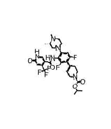 CC(C)OC(=O)N1CC=C(c2c(F)cc(N3CCN(C)[C@@H](C)C3)c(NC(=O)c3c[nH]c(=O)cc3C(F)(F)F)c2F)CC1